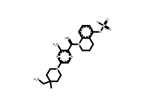 CC1(CN)CCN(c2cnc(C(=N)N3CCCc4c(OS(=O)(=O)F)cccc43)c(N)n2)CC1